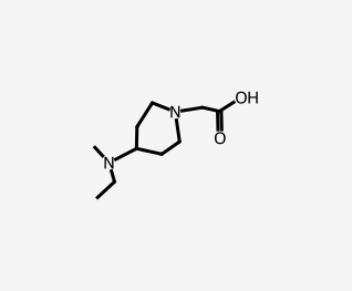 CCN(C)C1CCN(CC(=O)O)CC1